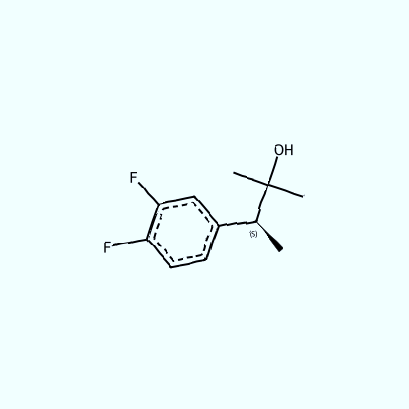 C[C@@H](c1ccc(F)c(F)c1)C(C)(C)O